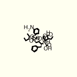 CCC(CC)ON(C[C@@H](O)[C@H](Cc1ccccc1)N(C(=O)O)[C@H]1CO[C@H]2OCC[C@H]21)S(=O)(=O)c1cccc(N)c1